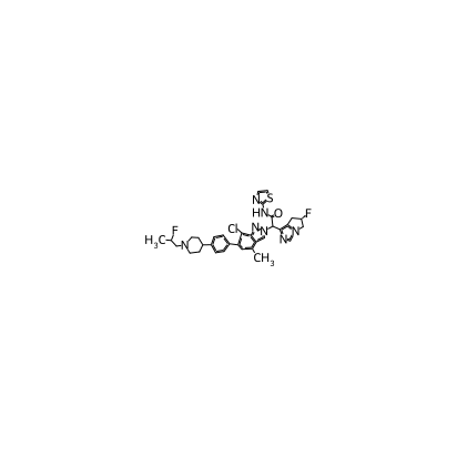 Cc1cc(-c2ccc(C3CCN(CC(C)F)CC3)cc2)c(Cl)c2nn(C(C(=O)Nc3nccs3)c3ncn4c3C[C@@H](F)C4)cc12